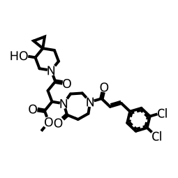 COC(=O)C(CC(=O)N1CCC2(CC2)C(O)C1)N1CCN(C(=O)C=Cc2ccc(Cl)c(Cl)c2)CCC1=O